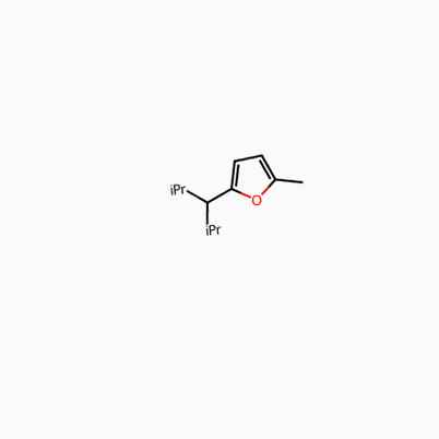 Cc1ccc(C(C(C)C)C(C)C)o1